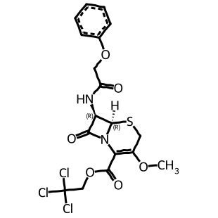 COC1=C(C(=O)OCC(Cl)(Cl)Cl)N2C(=O)[C@@H](NC(=O)COc3ccccc3)[C@H]2SC1